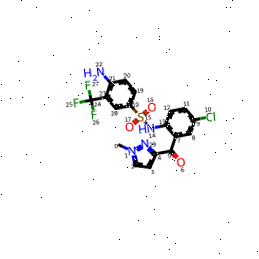 Cn1ccc(C(=O)c2cc(Cl)ccc2NS(=O)(=O)c2ccc(N)c(C(F)(F)F)c2)n1